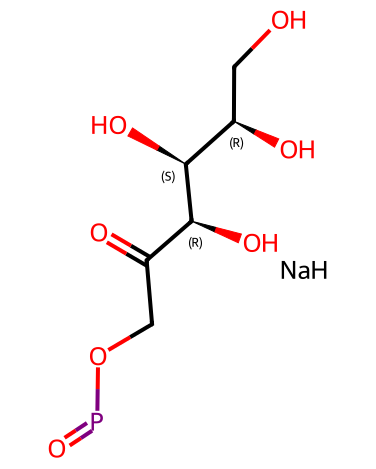 O=POCC(=O)[C@H](O)[C@@H](O)[C@H](O)CO.[NaH]